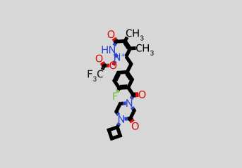 Cc1c(C)c(=O)[nH][n+](OC(=O)C(F)(F)F)c1Cc1ccc(F)c(C(=O)N2CCN(C3CCC3)C(=O)C2)c1